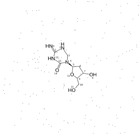 N=C1NCN([C@H]2CC(O)C(CO)O2)C(=O)N1